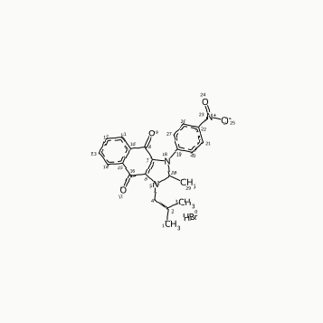 Br.CC(C)CN1C2=C(C(=O)c3ccccc3C2=O)N(c2ccc([N+](=O)[O-])cc2)C1C